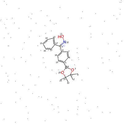 CC1(C)OB(c2ccc(/C(=N/O)c3ccccc3)cc2)OC1(C)C